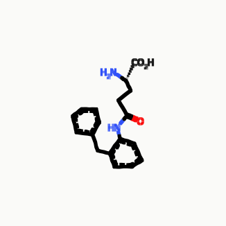 N[C@@H](CCC(=O)Nc1ccccc1Cc1ccccc1)C(=O)O